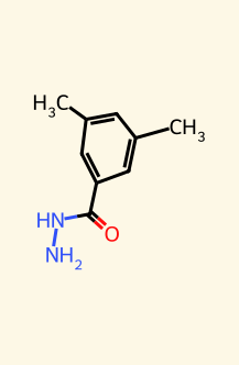 Cc1cc(C)cc(C(=O)NN)c1